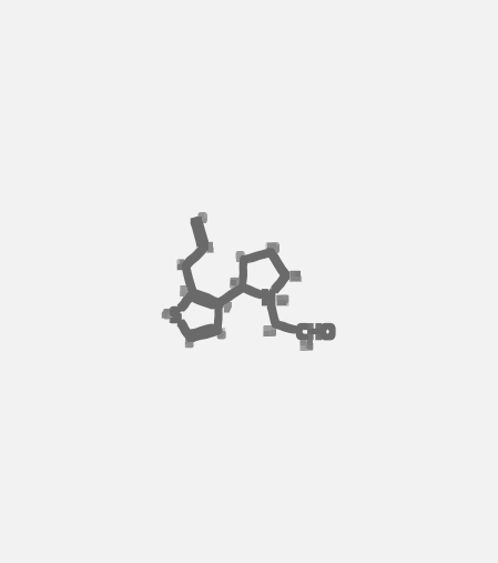 C=CCc1sccc1C1CCCN1CC=O